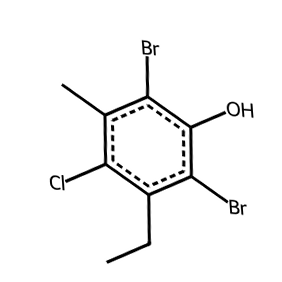 CCc1c(Cl)c(C)c(Br)c(O)c1Br